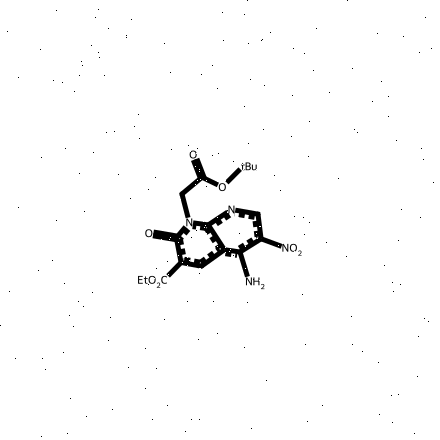 CCOC(=O)c1cc2c(N)c([N+](=O)[O-])cnc2n(CC(=O)OC(C)(C)C)c1=O